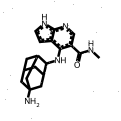 CNC(=O)c1cnc2[nH]ccc2c1NC1C2CC3CC1CC(N)(C3)C2